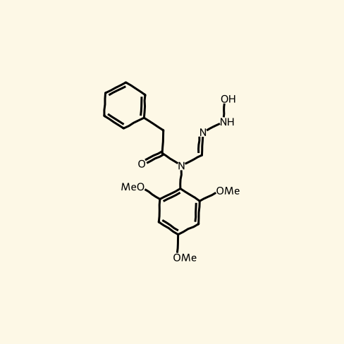 COc1cc(OC)c(N(C=NNO)C(=O)Cc2ccccc2)c(OC)c1